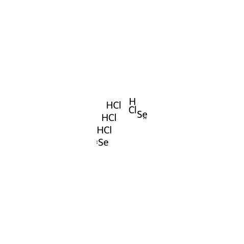 Cl.Cl.Cl.Cl.[Se].[Se]